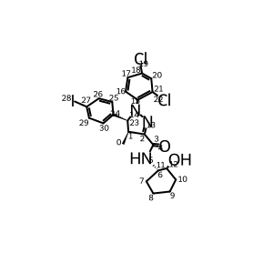 C[C@@H]1C(C(=O)N[C@H]2CCCC[C@@H]2O)=NN(c2ccc(Cl)cc2Cl)[C@@H]1c1ccc(I)cc1